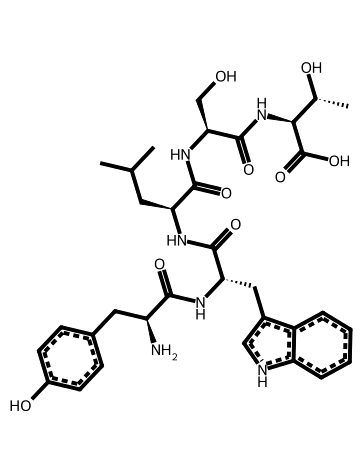 CC(C)C[C@H](NC(=O)[C@H](Cc1c[nH]c2ccccc12)NC(=O)[C@@H](N)Cc1ccc(O)cc1)C(=O)N[C@@H](CO)C(=O)N[C@H](C(=O)O)[C@@H](C)O